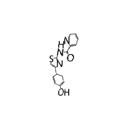 O=C(Nc1nc(C2C=CC(O)=CC2)cs1)c1ccccn1